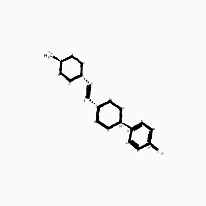 C[C@H]1CC[C@H](C=C[C@H]2CC[C@H](c3ccc(F)cc3)CC2)CC1